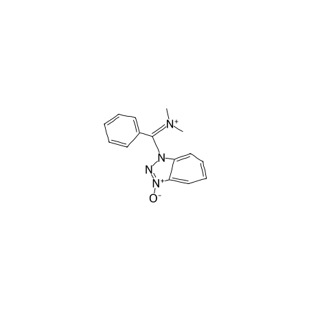 C[N+](C)=C(c1ccccc1)n1n[n+]([O-])c2ccccc21